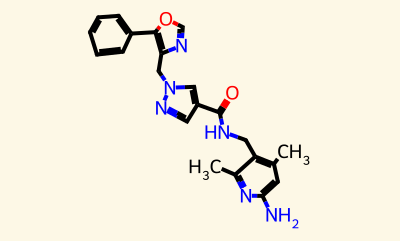 Cc1cc(N)nc(C)c1CNC(=O)c1cnn(Cc2ncoc2-c2ccccc2)c1